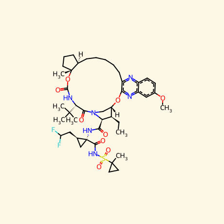 CC[C@@H]1[C@@H]2CN(C(=O)[C@H](C(C)(C)C)NC(=O)O[C@]3(C)CCC[C@H]3CCCCCc3nc4ccc(OC)cc4nc3O2)[C@@H]1C(=O)N[C@]1(C(=O)NS(=O)(=O)C2(C)CC2)C[C@H]1CC(F)F